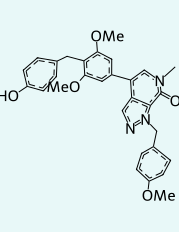 COc1ccc(Cn2ncc3c(-c4cc(OC)c(Cc5ccc(O)cc5)c(OC)c4)cn(C)c(=O)c32)cc1